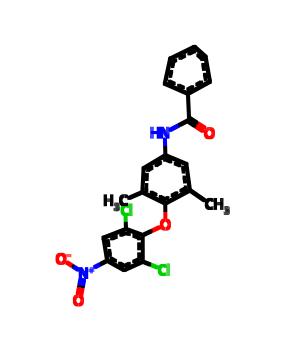 Cc1cc(NC(=O)c2ccccc2)cc(C)c1Oc1c(Cl)cc([N+](=O)[O-])cc1Cl